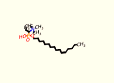 CCCC/C=C\CCCCCCCCCCOP(=O)(O)C(CC)[N+](C)(C)C